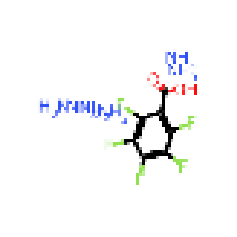 N.N.N.N.N.N.O=C(O)c1c(F)c(F)c(F)c(F)c1F